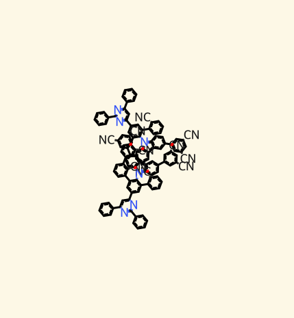 N#Cc1cc(C#N)cc(-c2ccc3c(c2)c2ccccc2n3-c2c(-c3ccccc3C#N)cc(-c3cc(-c4ccccc4)nc(-c4ccccc4)n3)cc2-c2ccc(-c3cccc(-c4cc(-c5cc(-c6ccccc6)nc(-c6ccccc6)n5)cc(-c5ccccc5C#N)c4-n4c5ccc(-c6cc(C#N)cc(C#N)c6)cc5c5cc(-c6cc(C#N)cc(C#N)c6)ccc54)c3C#N)cc2C#N)c1